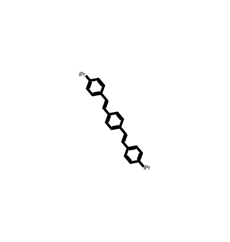 CC(C)c1ccc(C=Cc2ccc(C=Cc3ccc(C(C)C)cc3)cc2)cc1